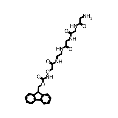 NCC(=O)NCC(=O)NCC(=O)NCCNC(=O)CONC(=O)OCC1c2ccccc2-c2ccccc21